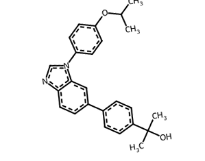 CC(C)Oc1ccc(-n2cnc3ccc(-c4ccc(C(C)(C)O)cc4)cc32)cc1